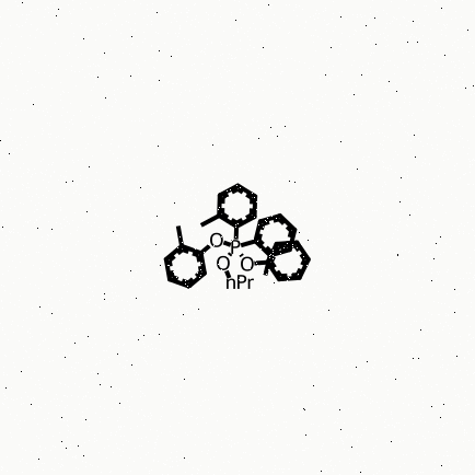 CCCOP(Oc1ccccc1)(Oc1ccccc1C)(c1ccccc1C)c1ccccc1C